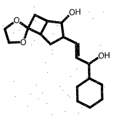 OC(C=CC1CC2C(CC23OCCO3)C1O)C1CCCCC1